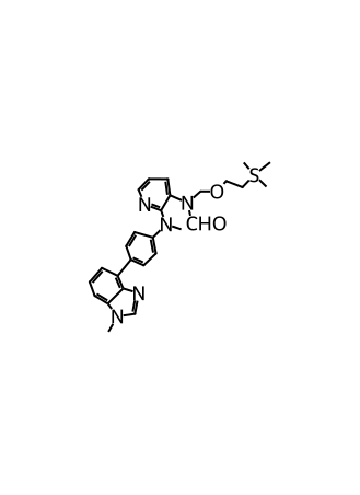 CN(c1ccc(-c2cccc3c2ncn3C)cc1)c1ncccc1N(C=O)COCCS(C)(C)C